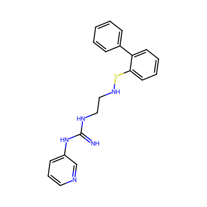 N=C(NCCNSc1ccccc1-c1ccccc1)Nc1cccnc1